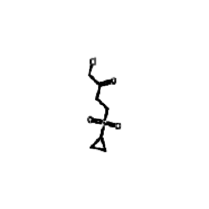 O=C(CCl)CCS(=O)(=O)C1CC1